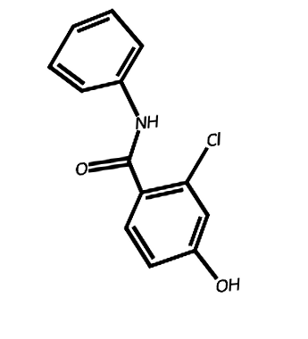 O=C(Nc1ccccc1)c1ccc(O)cc1Cl